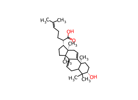 CC(C)=CCCC(C(=O)O)[C@H]1CC[C@@]2(C)C3=CCC4C(C)(C)[C@@H](O)CC[C@]4(C)C3=CC[C@]12C